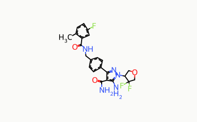 Cc1ccc(F)cc1C(=O)NCc1ccc(-c2nn(C3COCC3(F)F)c(N)c2C(N)=O)cc1